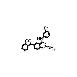 Nc1nc(Nc2cccc(Br)c2)c2cc(C3OOc4ccccc43)ccc2n1